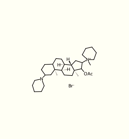 CC(=O)OC1C([N+]2(C)CCCCC2)C[C@H]2[C@@H]3CCC4CCC(N5CCCCC5)C[C@]4(C)[C@@H]3CC[C@]12C.[Br-]